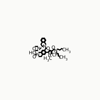 CCCCN(CCCC)C(=O)c1cc(-c2cc3c(cc2C(=O)N2Cc4ccccc4C[C@H]2CN2CCOCC2)CN(C(=O)O)CC3)n(CC)c1C